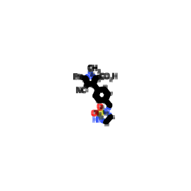 CCc1c(C#N)c(-c2ccc(CN3CCNS3(=O)=O)cc2)c(C(=O)O)n1C